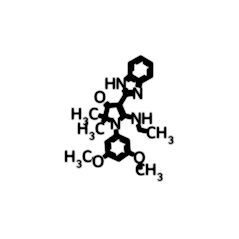 CCNC1=C(c2nc3ccccc3[nH]2)C(=O)C(C)(C)N1c1cc(OC)cc(OC)c1